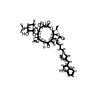 CC[C@H]1OC(=O)[C@@](C)(F)C(=O)[C@H](C)[C@@H](O[C@@H]2O[C@H](C)C[C@H](N(C)C)[C@H]2O)[C@@](C)(OC)C[C@@H](C)C(=O)[C@H](C)[C@@H]2C1OC(=O)N2CCCCn1cc(Cc2c[nH]c3ccccc23)nn1